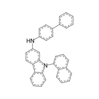 c1ccc(-c2ccc(Nc3ccc4c5ccccc5n(-c5cccc6ccccc56)c4c3)cc2)cc1